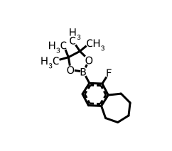 CC1(C)OB(c2ccc3c(c2F)CCCCC3)OC1(C)C